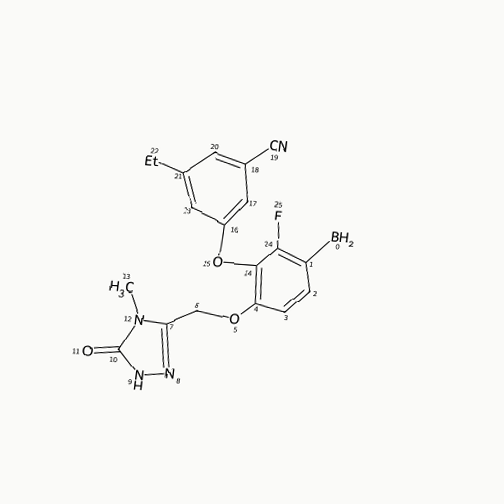 Bc1ccc(OCc2n[nH]c(=O)n2C)c(Oc2cc(C#N)cc(CC)c2)c1F